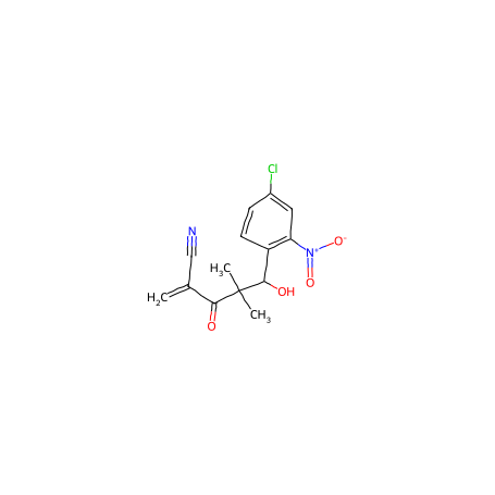 C=C(C#N)C(=O)C(C)(C)C(O)c1ccc(Cl)cc1[N+](=O)[O-]